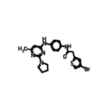 Cc1cc(Nc2ccc(NC(=O)Cc3cc(Br)cs3)cc2)nc(N2CCCC2)n1